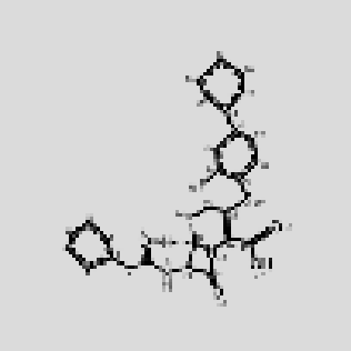 O=C(Cc1ccccc1)N[C@@H]1C(=O)N2C(C(=O)O)=C(Sc3ccc(-c4ccccc4)cc3F)CS[C@H]12